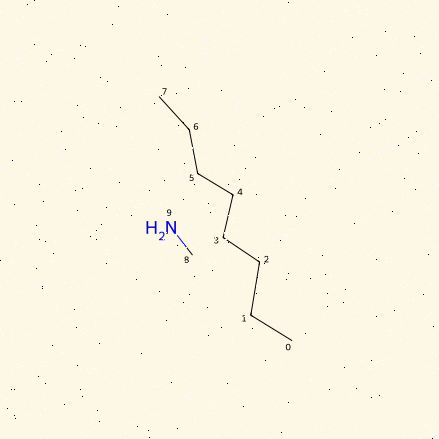 CCCCCCCC.CN